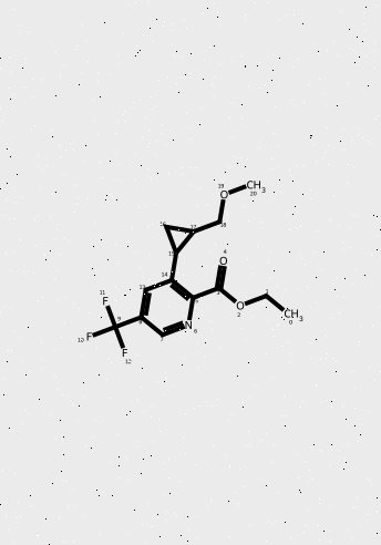 CCOC(=O)c1ncc(C(F)(F)F)cc1C1CC1COC